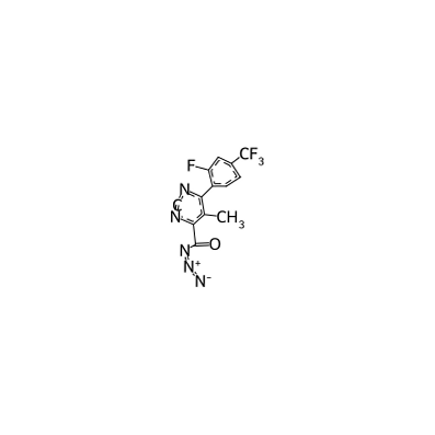 Cc1c(C(=O)N=[N+]=[N-])ncnc1-c1ccc(C(F)(F)F)cc1F